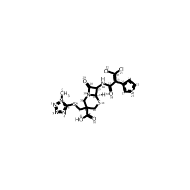 Cn1nnnc1SCC1(C(=O)O)CS[C@@H]2C(NC(=O)C(=C(Cl)Cl)c3ccsc3)C(=O)N2C1